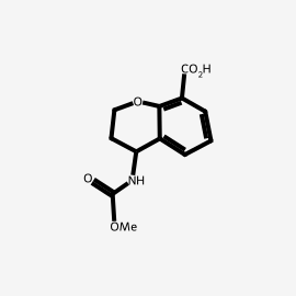 COC(=O)NC1CCOc2c(C(=O)O)cccc21